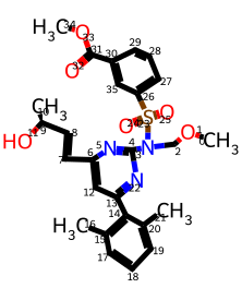 COCN(c1nc(/C=C/[C@H](C)O)cc(-c2c(C)cccc2C)n1)S(=O)(=O)c1cccc(C(=O)OC)c1